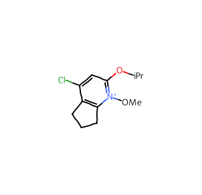 CO[n+]1c(OC(C)C)cc(Cl)c2c1CCC2